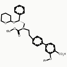 CC(C)Oc1cc(-c2ccc(CCN(C[C@H](OC3CCCCO3)c3ccccc3)C(=O)OC(C)(C)C)cc2)ccc1C(=O)O